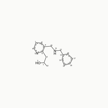 CC(O)Cc1ncccc1CNCc1ccccc1